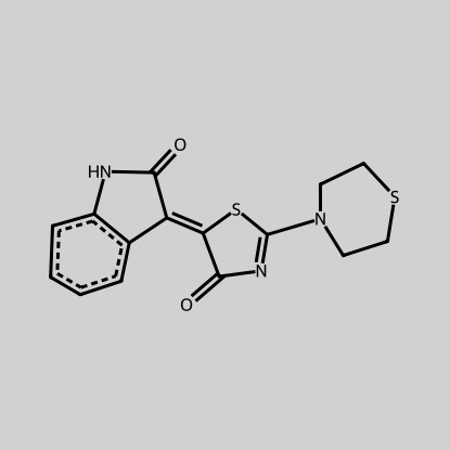 O=C1N=C(N2CCSCC2)SC1=C1C(=O)Nc2ccccc21